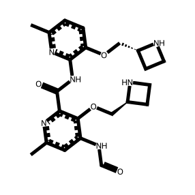 Cc1ccc(OC[C@H]2CCN2)c(NC(=O)c2nc(C)cc(NC=O)c2OC[C@@H]2CCN2)n1